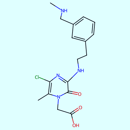 CNCc1cccc(CCNc2nc(Cl)c(C)n(CC(=O)O)c2=O)c1